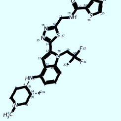 CN1CC[C@H](Nc2cccc3c2cc(-c2nnc(CNC(=O)c4cccs4)s2)n3CC(F)(F)F)[C@H](F)C1